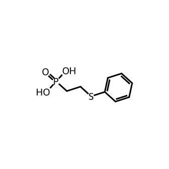 O=P(O)(O)CCSc1ccccc1